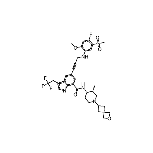 COc1cc(F)c(S(C)(=O)=O)cc1NCC#Cc1cc(C(=O)N[C@H]2CCN(C3CC4(COC4)C3)C[C@@H]2C)c2ncn(CC(F)(F)F)c2c1